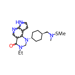 CCN1CN([C@H]2CC[C@H](CN(C)SC)CC2)c2c(cnc3[nH]ccc23)C1=O